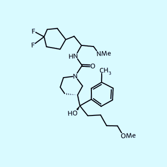 CNCC(CC1CCC(F)(F)CC1)NC(=O)N1CCC[C@@H]([C@@](O)(CCCCOC)c2cccc(C)c2)C1